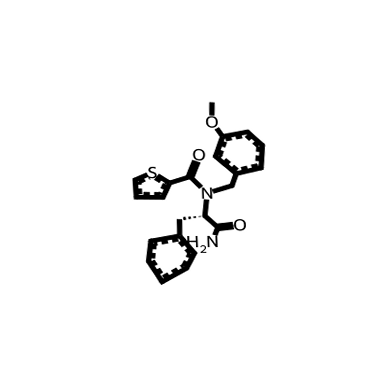 COc1cccc(CN(C(=O)c2cccs2)[C@@H](Cc2ccccc2)C(N)=O)c1